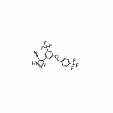 N#Cc1[nH]nnc1-c1cc(OCc2ccc(C(F)(F)F)cc2)cc(C(F)(F)F)c1